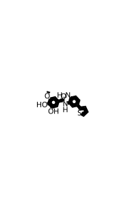 COc1cc(C(=O)Nc2cc(-c3cccs3)ccc2N)cc(O)c1O